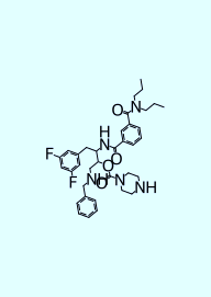 CCCN(CCC)C(=O)c1cccc(C(=O)NC(Cc2cc(F)cc(F)c2)C(CNCc2ccccc2)OC(=O)N2CCNCC2)c1